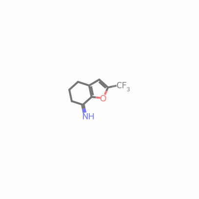 N=C1CCCc2cc(C(F)(F)F)oc21